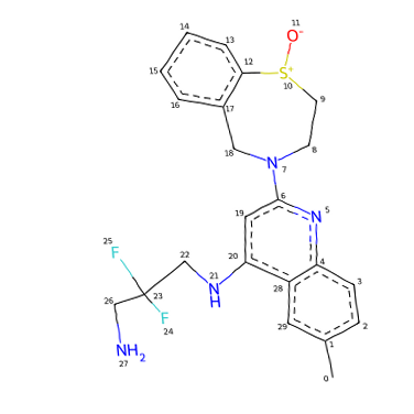 Cc1ccc2nc(N3CC[S+]([O-])c4ccccc4C3)cc(NCC(F)(F)CN)c2c1